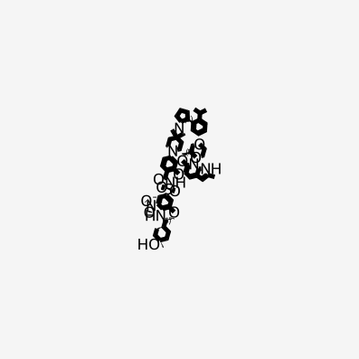 Cc1cc2cc(Oc3cc(N4CCC5(CC4)CN(C4CCC[C@H]4c4ccccc4C(C)C)C5)ccc3C(=O)NS(=O)(=O)c3cc4c(c([N+](=O)[O-])c3)N[C@@H]([C@H]3CC[C@](C)(O)CC3)CO4)c(OC[C@H]3COCCO3)nc2[nH]1